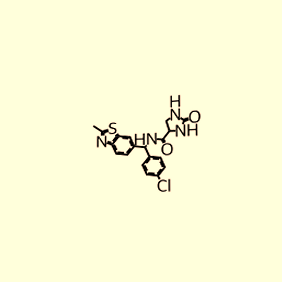 Cc1nc2ccc([C@@H](NC(=O)C3CNC(=O)N3)c3ccc(Cl)cc3)cc2s1